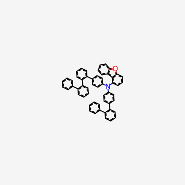 c1ccc(-c2ccccc2-c2ccc(N(c3ccc(-c4ccccc4-c4ccccc4-c4ccccc4)cc3)c3cccc4oc5ccccc5c34)cc2)cc1